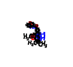 CCC1(CC)CC(=O)N(C(COC)c2cccc(C(=O)N[C@H]3CCOc4ccccc43)c2)C(=N)N1